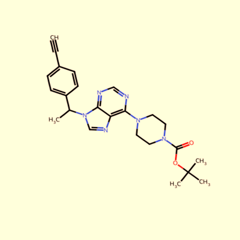 C#Cc1ccc(C(C)n2cnc3c(N4CCN(C(=O)OC(C)(C)C)CC4)ncnc32)cc1